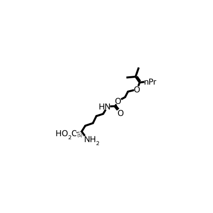 CCCC(OCCOC(=O)NCCCC[C@H](N)C(=O)O)=C(C)C